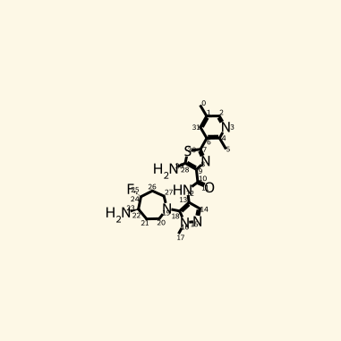 Cc1cnc(C)c(-c2nc(C(=O)Nc3cnn(C)c3N3CC[C@@H](N)[C@H](F)CC3)c(N)s2)c1